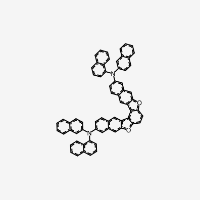 c1ccc2cc(N(c3ccc4cc5c(cc4c3)oc3ccc4oc6cc7cc(N(c8ccc9ccccc9c8)c8cccc9ccccc89)ccc7cc6c4c35)c3cccc4ccccc34)ccc2c1